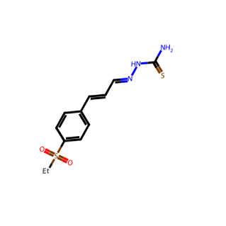 CCS(=O)(=O)c1ccc(/C=C/C=N/NC(N)=S)cc1